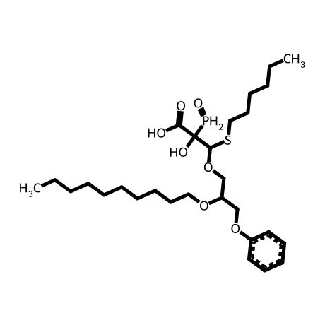 CCCCCCCCCCOC(COc1ccccc1)COC(SCCCCCC)C(O)([PH2]=O)C(=O)O